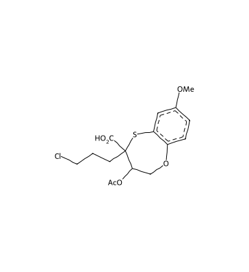 COc1ccc2c(c1)SC(CCCCl)(C(=O)O)C(OC(C)=O)CO2